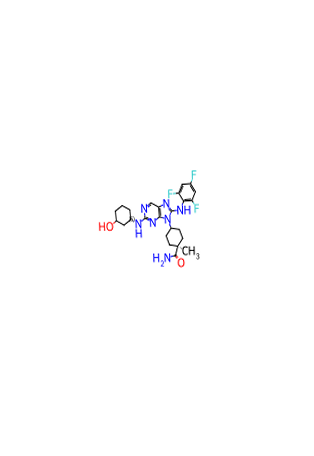 C[C@]1(C(N)=O)CC[C@@H](n2c(Nc3c(F)cc(F)cc3F)nc3cnc(N[C@H]4CCCC(O)C4)nc32)CC1